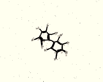 Sc1c(Br)c(Br)c(-c2c(Br)c(Br)c(Br)c(Br)c2Br)c(Br)c1Br